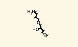 CCCOCC(O)COCCCN